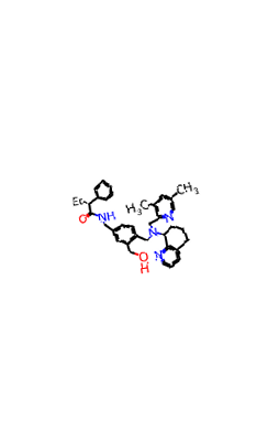 CC[C@H](C(=O)NCc1ccc(CN(Cc2ncc(C)cc2C)[C@H]2CCCc3cccnc32)c(CO)c1)c1ccccc1